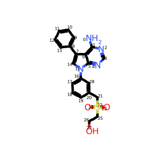 Nc1ncnc2c1c(-c1ccccc1)cn2-c1cccc(CS(=O)(=O)CCO)c1